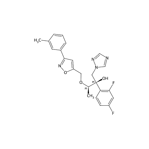 Cc1cccc(-c2cc(CO[C@H](C)[C@](O)(Cn3cncn3)c3ccc(F)cc3F)on2)c1